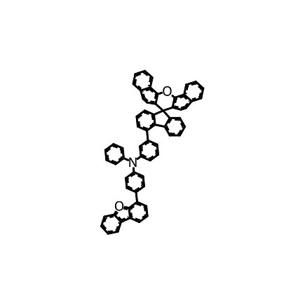 c1ccc(N(c2ccc(-c3cccc4c3oc3ccccc34)cc2)c2cccc(-c3cccc4c3-c3ccccc3C43c4ccc5ccccc5c4Oc4c3ccc3ccccc43)c2)cc1